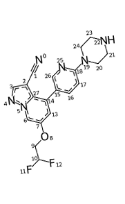 N#Cc1cnn2cc(OCC(F)F)cc(-c3ccc(N4CCNCC4)nc3)c12